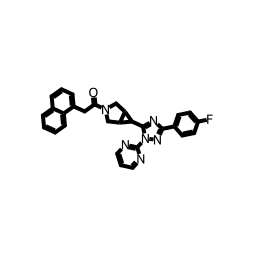 O=C(Cc1cccc2ccccc12)N1CC2C(C1)C2c1nc(-c2ccc(F)cc2)nn1-c1ncccn1